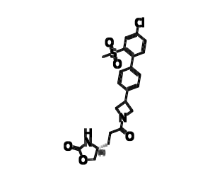 CS(=O)(=O)c1cc(Cl)ccc1-c1ccc(C2CN(C(=O)CC[C@@H]3COC(=O)N3)C2)cc1